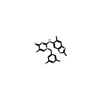 Cc1nc2cc(C)c(Nc3nc(=O)c(F)cn3Cc3cc(F)cc(F)c3)cc2s1